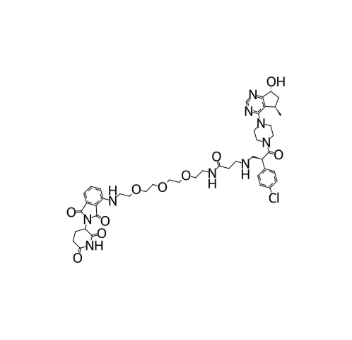 C[C@@H]1C[C@@H](O)c2ncnc(N3CCN(C(=O)[C@H](CNCCC(=O)NCCOCCOCCOCCNc4cccc5c4C(=O)N(C4CCC(=O)NC4=O)C5=O)c4ccc(Cl)cc4)CC3)c21